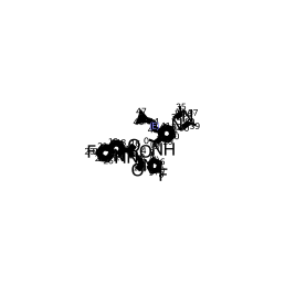 C[C@H](NC(=O)[C@@H]1C[C@@H](F)CN1C(=O)CNC(=O)c1ccc2cc(F)ccc2n1)c1ccc(N2C[C@@H](C)N(C)[C@@H](C)C2)cc1/C=C/C1CC1